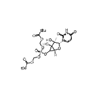 CC(C)(C)C(=O)OCOP(=O)(OCOC(=O)C(C)(C)C)OC1[C@H]2O[C@@H](n3ccc(=O)[nH]c3=O)[C@](C)(O)[C@@]12O